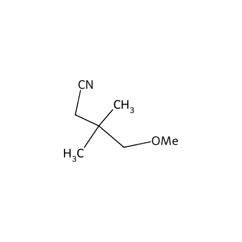 COCC(C)(C)CC#N